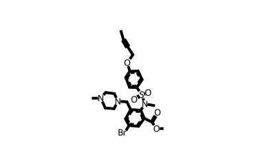 CC#CCOc1ccc(S(=O)(=O)N(C)c2c(CN3CCN(C)CC3)cc(Br)cc2C(=O)OC)cc1